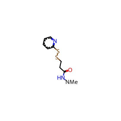 CNNC(=O)CCSSc1ccccn1